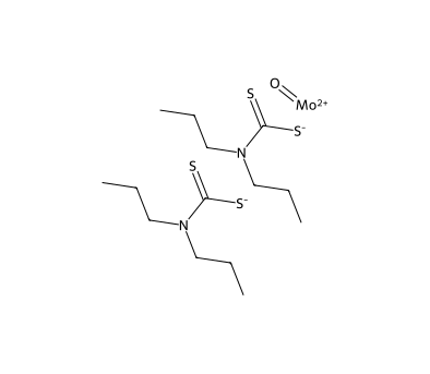 CCCN(CCC)C(=S)[S-].CCCN(CCC)C(=S)[S-].[O]=[Mo+2]